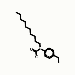 CCCCCCCCCCN(C(=O)Cl)c1ccc(CC)cc1